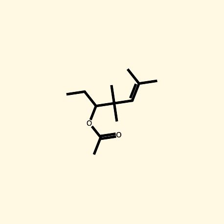 CCC(OC(C)=O)C(C)(C)C=C(C)C